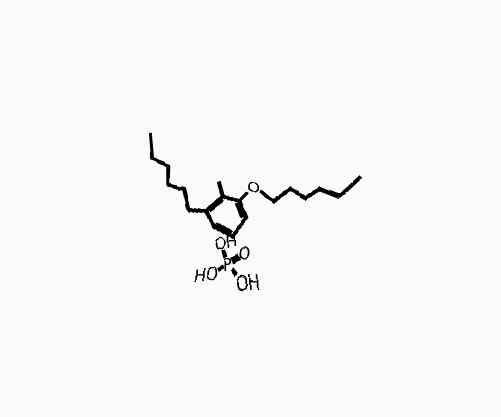 CCCCCCOc1cccc(CCCCCC)c1C.O=P(O)(O)O